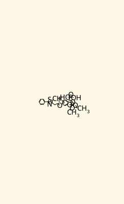 CCOP(=O)(OCC)OC(c1ccc(OCCc2nc(-c3ccccc3)sc2C)c(F)c1)P(=O)(O)O